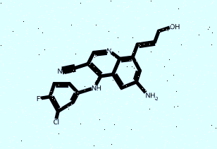 N#Cc1cnc2c(C=CCO)cc(N)cc2c1Nc1ccc(F)c(Cl)c1